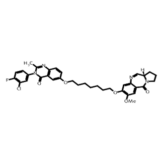 COc1cc2c(cc1OCCCCCCCOc1ccc3nc(C)n(-c4ccc(F)c(Cl)c4)c(=O)c3c1)N=C[C@@H]1CCCN1C2=O